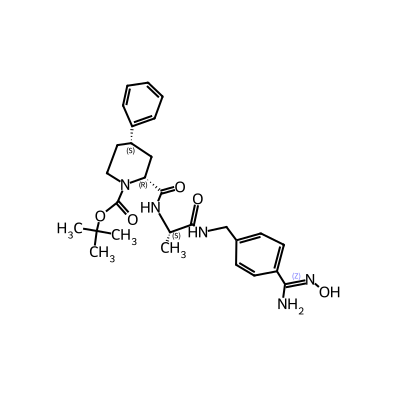 C[C@H](NC(=O)[C@H]1C[C@@H](c2ccccc2)CCN1C(=O)OC(C)(C)C)C(=O)NCc1ccc(/C(N)=N/O)cc1